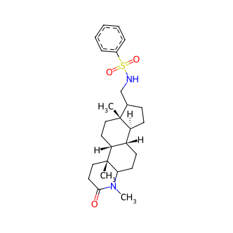 CN1C(=O)CC[C@@]2(C)C1CC[C@@H]1[C@H]2CC[C@]2(C)C(CNS(=O)(=O)c3ccccc3)CC[C@@H]12